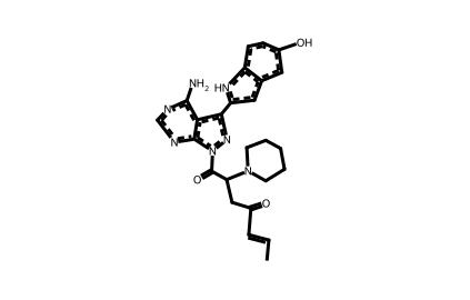 C/C=C/C(=O)CC(C(=O)n1nc(-c2cc3cc(O)ccc3[nH]2)c2c(N)ncnc21)N1CCCCC1